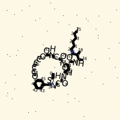 C=CS/C1=N\CC(=O)N[C@@H]2C[C@@H](C(=O)NC(C)C(C)/C=C\CCCCI)N(C2)C(=O)CNC(=O)OCCCCOc2cccc1c2